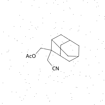 CC(=O)OCC1(CC#N)C2CC3CC(C2)CC1C3